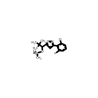 C[SiH](C)OC(c1cc(-c2c(F)cccc2Cl)no1)C(C)(C)C